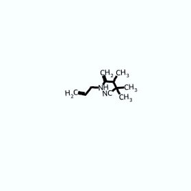 C=CCNC(=C)C(C)C(C)(C)C#N